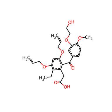 C=CCOc1cc(OCC=C)c(C(=O)c2ccc(OC)c(OCCO)c2)c(CC(=O)O)c1CC